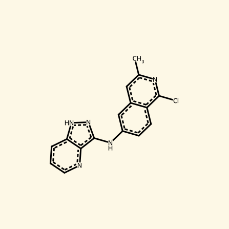 Cc1cc2cc(Nc3n[nH]c4cccnc34)ccc2c(Cl)n1